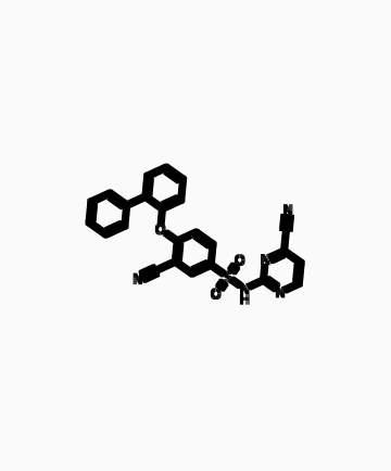 N#Cc1ccnc(NS(=O)(=O)c2ccc(Oc3ccccc3-c3ccccc3)c(C#N)c2)n1